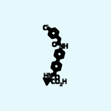 O=C(Cc1ccc(Cl)cc1)Nc1ccc(-c2ccc(C(=O)NC3(C(=O)O)CC3)cc2)cc1